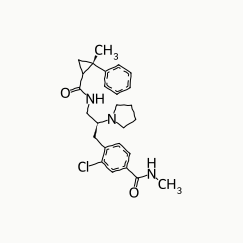 CNC(=O)c1ccc(C[C@@H](CNC(=O)C2C[C@]2(C)c2ccccc2)N2CCCC2)c(Cl)c1